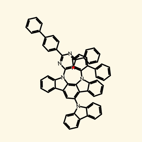 c1ccc(-c2ccc(-c3nc(-c4ccccc4)nc(-n4c5ccccc5c5cc(-n6c7ccccc7c7ccccc76)c6c7ccccc7n(-c7ccccc7-c7ccccc7)c6c54)n3)cc2)cc1